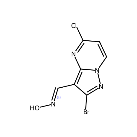 O/N=C/c1c(Br)nn2ccc(Cl)nc12